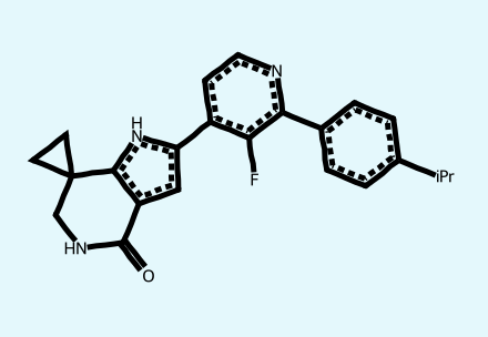 CC(C)c1ccc(-c2nccc(-c3cc4c([nH]3)C3(CC3)CNC4=O)c2F)cc1